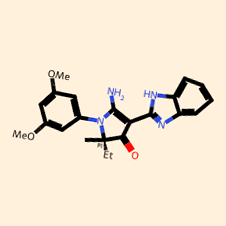 CC[C@]1(C)C(=O)C(c2nc3ccccc3[nH]2)=C(N)N1c1cc(OC)cc(OC)c1